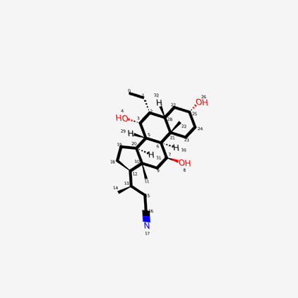 CC[C@H]1[C@@H](O)[C@@H]2[C@H]([C@@H](O)C[C@]3(C)[C@@H]([C@H](C)CC#N)CC[C@@H]23)[C@@]2(C)CC[C@@H](O)C[C@@H]12